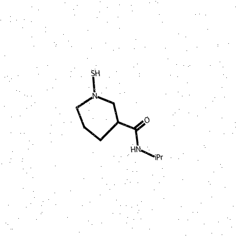 CC(C)NC(=O)C1CCCN(S)C1